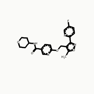 Cc1onc(-c2ccc(F)cn2)c1COc1ccc(C(=O)NC2CCOCC2)cn1